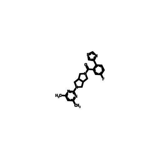 Cc1cc(C)nc(N2CC3CN(C(=O)c4cc(F)ccc4-c4cscn4)CC3C2)n1